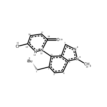 CC[C@@H](C)Cc1ccc2c(cnn2C)c1-n1nc(Cl)ccc1=O